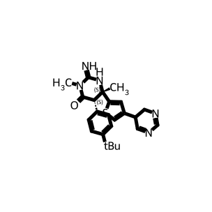 CN1C(=N)N[C@](C)(c2cc(C3C=NC=NC3)cs2)[C@H](c2ccc(C(C)(C)C)cc2)C1=O